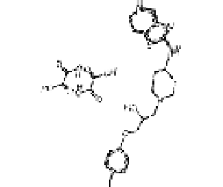 O=C(O)C(=O)O.O=C(O)C(=O)O.OC(COc1ccc(F)cc1)CN1CCC(Nc2nc3cnccc3s2)CC1